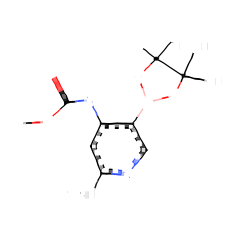 CC(=O)Nc1cc(NC(=O)OC(C)(C)C)c(B2OC(C)(C)C(C)(C)O2)cn1